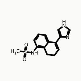 CS(=O)(=O)Nc1cccc2c1CCC=C2c1c[nH]cn1